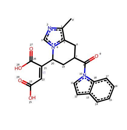 Cc1ncn2c1CC(C(=O)n1ccc3ccccc31)CC2/C(=C/C(=O)O)C(=O)O